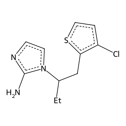 CCC(Cc1sccc1Cl)n1ccnc1N